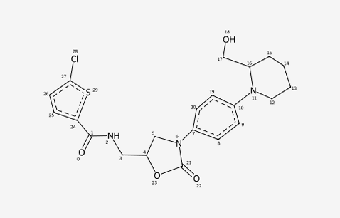 O=C(NCC1CN(c2ccc(N3CCCCC3CO)cc2)C(=O)O1)c1ccc(Cl)s1